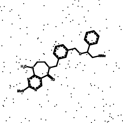 CNCC(OCc1cccc(CN2CCN(C)c3nc(SC)ncc3C2=O)c1)c1ccccc1